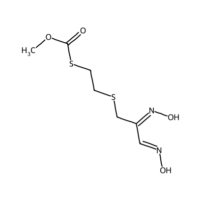 COC(=O)SCCSCC(C=NO)=NO